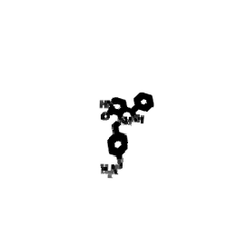 N=C(c1ccccc1)c1cc[nH]c(=O)c1NCc1ccc(SN)cc1